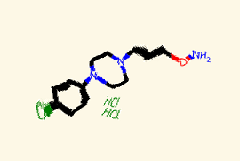 Cl.Cl.NOCCCN1CCN(c2ccc(Cl)cc2)CC1